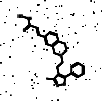 Cc1noc(-c2ccccc2)c1CCN1CCc2ccc(/C=C/C(=O)NO)cc2C1